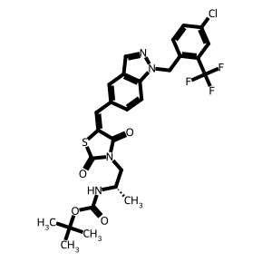 C[C@@H](CN1C(=O)S/C(=C/c2ccc3c(cnn3Cc3ccc(Cl)cc3C(F)(F)F)c2)C1=O)NC(=O)OC(C)(C)C